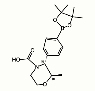 C[C@H]1OCCN(C(=O)O)[C@@H]1c1ccc(B2OC(C)(C)C(C)(C)O2)cc1